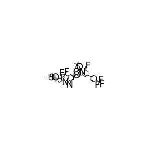 CC(C)(C)OC(=O)N1[C@@H](CF)CC(c2ccc(C(F)(F)F)cc2)=C[C@H]1COc1cc(C(F)(F)F)c2c(c1)ncn2C1CC(C)(O[Si](C)(C)C(C)(C)C)C1